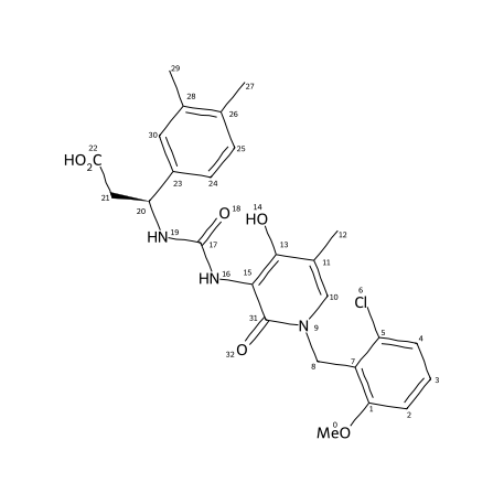 COc1cccc(Cl)c1Cn1cc(C)c(O)c(NC(=O)N[C@@H](CC(=O)O)c2ccc(C)c(C)c2)c1=O